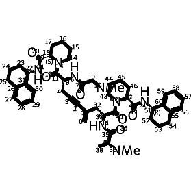 C=C(C#CC[C@H](NC(=O)CNC)C(=O)N1CCCC[C@H]1C(=O)N[C@@H]1CCCc2ccccc21)C[C@H](NC(=O)[C@H](C)NC)C(=O)N1CCCC[C@H]1C(=O)N[C@@H]1CCCc2ccccc21